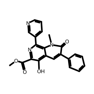 COC(=O)c1nc(-c2cccnc2)c2c(cc(-c3ccccc3)c(=O)n2C)c1O